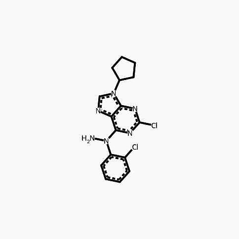 NN(c1ccccc1Cl)c1nc(Cl)nc2c1ncn2C1CCCC1